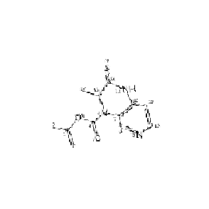 C=C(C)OC(=O)N1c2cnccc2NC(=S)C1C